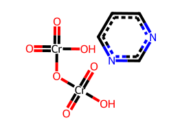 [O]=[Cr](=[O])([OH])[O][Cr](=[O])(=[O])[OH].c1cncnc1